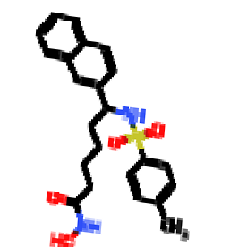 Cc1ccc(S(=O)(=O)NC(CCCCC(=O)NO)c2ccc3ccccc3c2)cc1